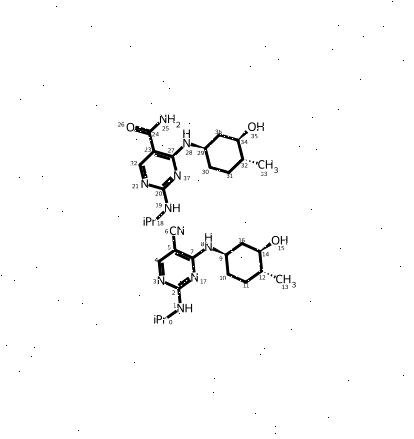 CC(C)Nc1ncc(C#N)c(N[C@@H]2CC[C@@H](C)[C@H](O)C2)n1.CC(C)Nc1ncc(C(N)=O)c(N[C@@H]2CC[C@@H](C)[C@H](O)C2)n1